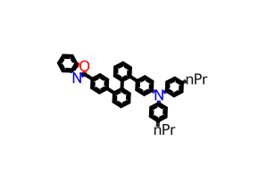 CCCc1ccc(N(c2ccc(CCC)cc2)c2ccc(-c3ccccc3-c3ccccc3-c3ccc(-c4nc5ccccc5o4)cc3)cc2)cc1